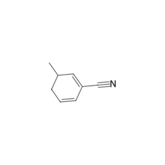 CC1C=C(C#N)C=CC1